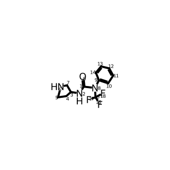 O=C(NC1CCNC1)N(c1ccccc1)C(F)(F)F